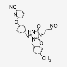 Cc1ccc(Cn2c(=O)n(CCCN=O)c(=O)[nH]/c2=N\c2ccc(Oc3cccc(C#N)n3)cc2)cc1